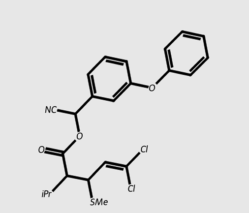 CSC(C=C(Cl)Cl)C(C(=O)OC(C#N)c1cccc(Oc2ccccc2)c1)C(C)C